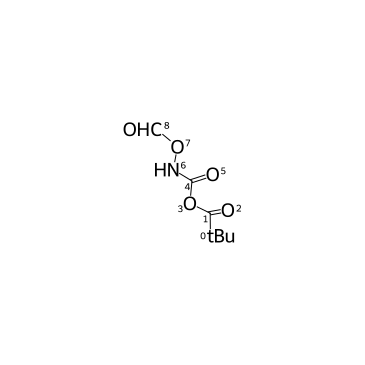 CC(C)(C)C(=O)OC(=O)NOC=O